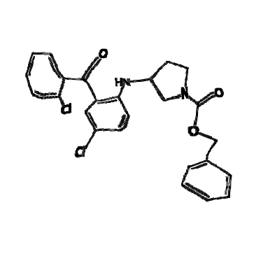 O=C(c1ccccc1Cl)c1cc(Cl)ccc1NC1CCN(C(=O)OCc2ccccc2)C1